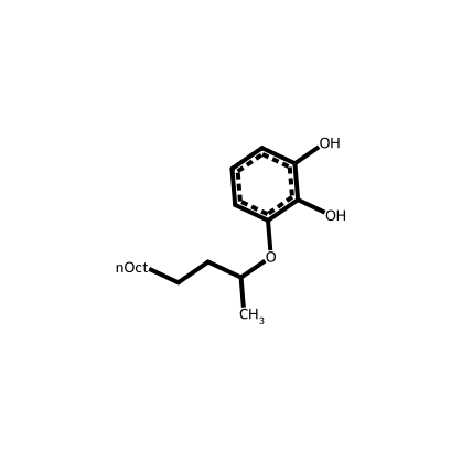 CCCCCCCCCCC(C)Oc1cccc(O)c1O